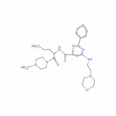 O=C(O)CCC(NC(=O)c1cc(NCCN2CCOCC2)nc(-c2ccccc2)n1)C(=O)N1CCN(C(=O)O)CC1